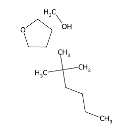 C1CCOC1.CCCCC(C)(C)C.CO